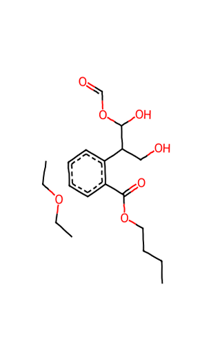 CCCCOC(=O)c1ccccc1C(CO)C(O)OC=O.CCOCC